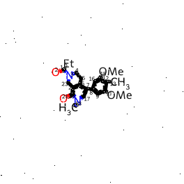 CCC(=O)N1CCc2c(-c3cc(OC)c(C)c(OC)c3)cn(C)c(=O)c2C1